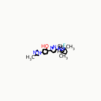 Cc1cn(-c2ccc(-c3ccc(N(C)[C@H]4[C@H](F)[C@]5(C)CC[C@@]4(C)CN5)nn3)c(O)c2)cn1